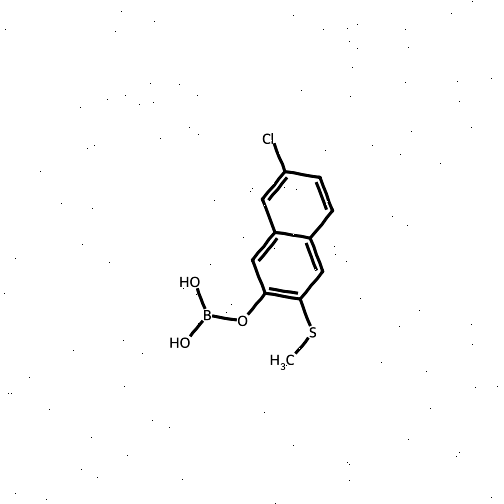 CSc1cc2ccc(Cl)cc2cc1OB(O)O